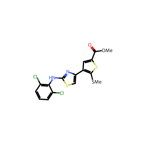 COC(=O)c1cc(-c2csc(Nc3c(Cl)cccc3Cl)n2)c(SC)s1